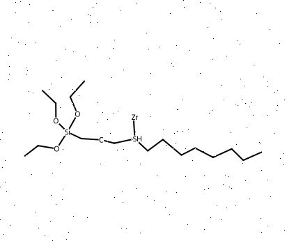 CCCCCCCC[SH]([Zr])CCC[Si](OCC)(OCC)OCC